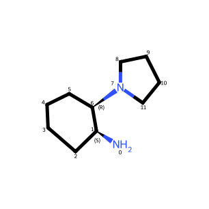 N[C@H]1CCCC[C@H]1N1CCCC1